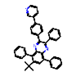 CC(C)(C)c1cc(-c2ccccc2)c2nc(-c3ccccc3)c(-c3ccc(-c4cccnc4)cc3)nc2c1-c1ccccc1